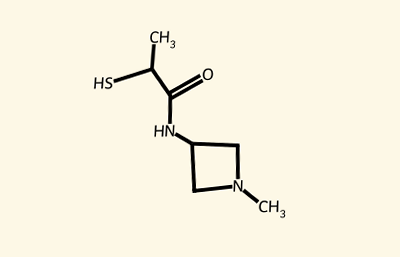 CC(S)C(=O)NC1CN(C)C1